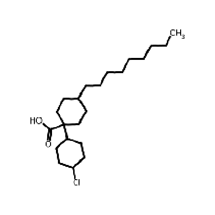 CCCCCCCCCC1CCC(C(=O)O)(C2CCC(Cl)CC2)CC1